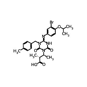 Cc1ccc(Cn2c(=O)n([C@@H](C)[C@@H](C)C(=O)O)c(=O)[nH]/c2=N\c2ccc(OC(C)C)c(Br)c2)cc1